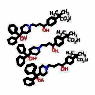 CC(C)(C(=O)O)c1ccc(C(O)CCCN2CCC(C(O)(c3ccccc3)c3ccccc3)CC2)cc1.CC(C)(C(=O)O)c1ccc(C(O)CCCN2CCC(C(O)(c3ccccc3)c3ccccc3)CC2)cc1.CC(C)(C(=O)O)c1ccc(C(O)CCCN2CCC(C(O)(c3ccccc3)c3ccccc3)CC2)cc1